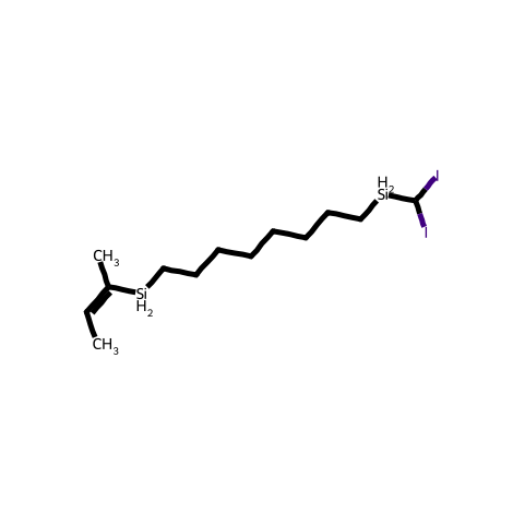 CC=C(C)[SiH2]CCCCCCCC[SiH2]C(I)I